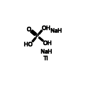 O=P(O)(O)O.[NaH].[NaH].[Ti]